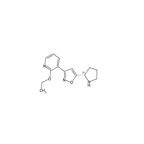 CCOc1ncccc1-c1cc([C@@H]2CCCN2)on1